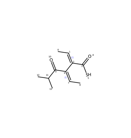 C/C=C(C(=O)S)\C(=C/C)C(=O)C(C)C